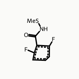 CSNC(=O)c1c(F)cccc1F